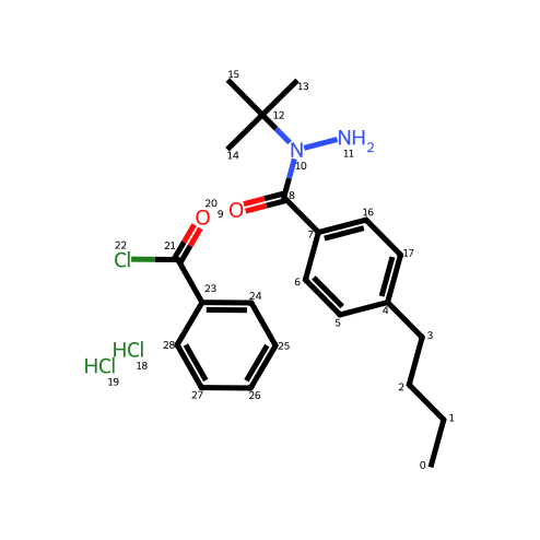 CCCCc1ccc(C(=O)N(N)C(C)(C)C)cc1.Cl.Cl.O=C(Cl)c1ccccc1